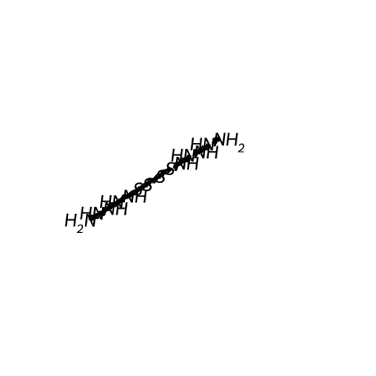 NCCNCCNCCNCCNCCSCCSCCCSCCSCCNCCNCCNCCNCCN